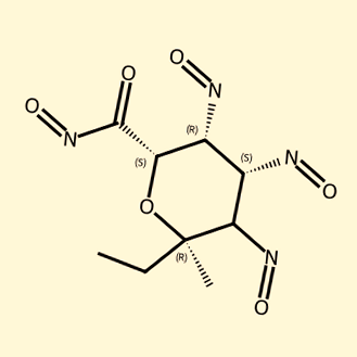 CC[C@@]1(C)O[C@H](C(=O)N=O)[C@H](N=O)[C@H](N=O)C1N=O